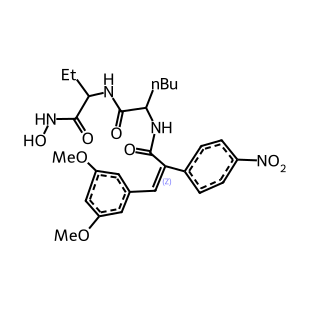 CCCCC(NC(=O)/C(=C\c1cc(OC)cc(OC)c1)c1ccc([N+](=O)[O-])cc1)C(=O)NC(CC)C(=O)NO